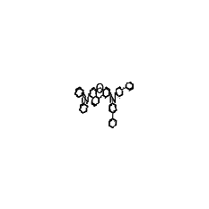 c1ccc(-c2ccc(N(c3ccc(-c4ccccc4)cc3)c3ccc4c(c3)-c3cccc5c(N(c6ccccc6)c6ccccc6)ccc(c35)O4)cc2)cc1